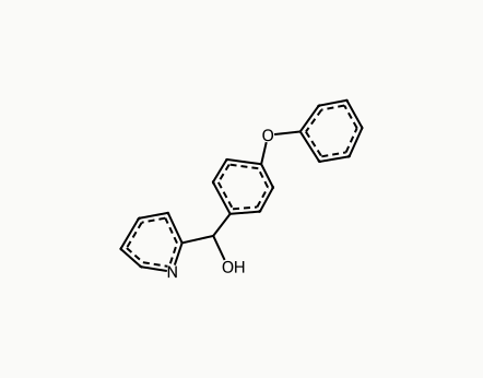 OC(c1ccc(Oc2ccccc2)cc1)c1ccccn1